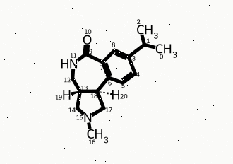 CC(C)c1ccc2c(c1)C(=O)NC[C@H]1CN(C)C[C@H]21